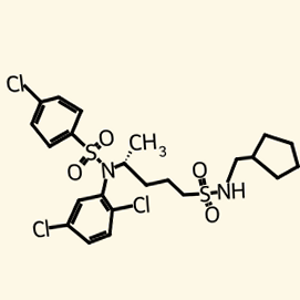 C[C@H](CCCS(=O)(=O)NCC1CCCC1)N(c1cc(Cl)ccc1Cl)S(=O)(=O)c1ccc(Cl)cc1